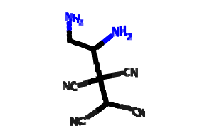 N#CC(C#N)C(C#N)(C#N)C(N)CN